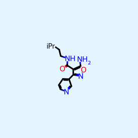 CC(C)CCNC(=O)c1c(-c2cccnc2)noc1N